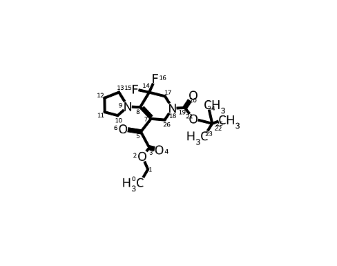 CCOC(=O)C(=O)C1=C(N2CCCC2)C(F)(F)CN(C(=O)OC(C)(C)C)C1